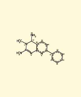 CN1C(N)=Nc2nc(-c3ccccc3)ccc2C1N